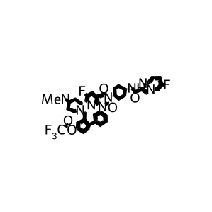 CNC1CCN(Cc2cc(OC(=O)C(F)(F)F)ccc2-c2cccc(-n3c(=O)n([C@H]4CC[C@@H](NC(=O)c5cn6cc(F)ccc6n5)CC4)c(=O)c4cc(F)cnc43)c2)CC1